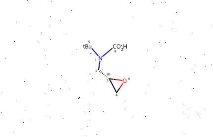 CC(C)(C)N(C[C@H]1CO1)C(=O)O